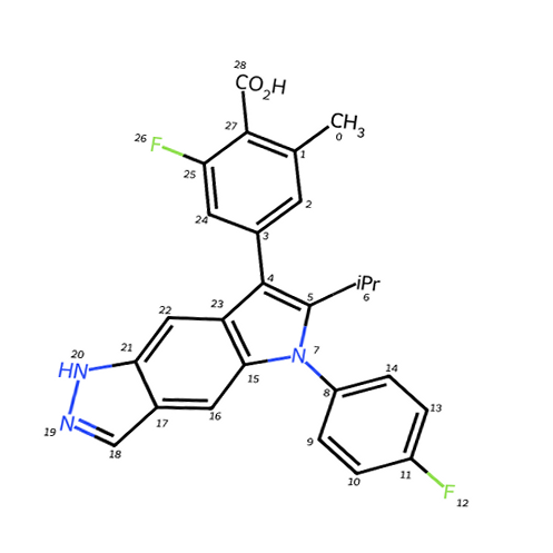 Cc1cc(-c2c(C(C)C)n(-c3ccc(F)cc3)c3cc4cn[nH]c4cc23)cc(F)c1C(=O)O